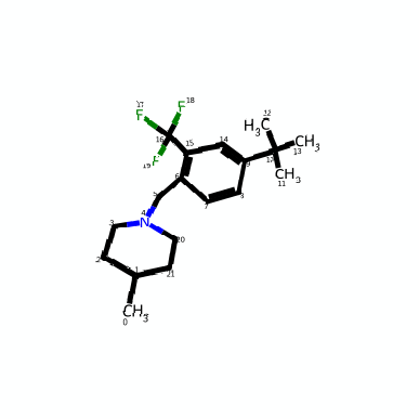 CC1CCN(Cc2ccc(C(C)(C)C)cc2C(F)(F)F)CC1